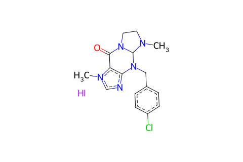 CN1CCN2C(=O)c3c(ncn3C)N(Cc3ccc(Cl)cc3)C12.I